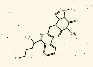 CN1C(=O)C2C(N=CN2C)N(Cc2nc(N(C)CCCO)c3ccccc3n2)C1=O